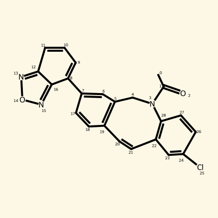 CC(=O)N1Cc2cc(-c3cccc4nonc34)ccc2C=Cc2cc(Cl)ccc21